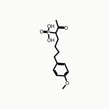 COc1ccc(CCCCC(C(C)=O)P(=O)(O)O)cc1